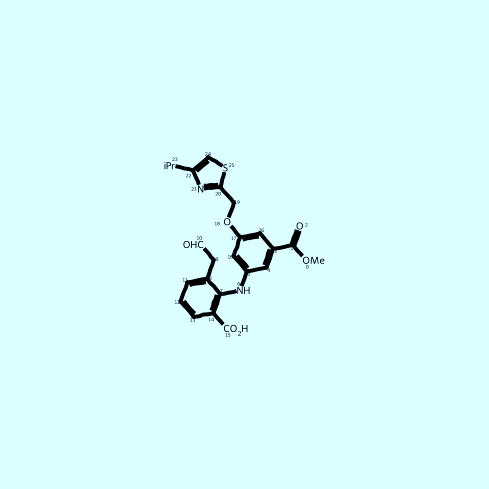 COC(=O)c1cc(Nc2c(CC=O)cccc2C(=O)O)cc(OCc2nc(C(C)C)cs2)c1